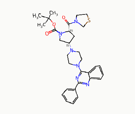 CC(C)(C)OC(=O)N1C[C@@H](N2CCN(c3nc(-c4ccccc4)nc4ccccc34)CC2)C[C@H]1C(=O)N1CCSC1